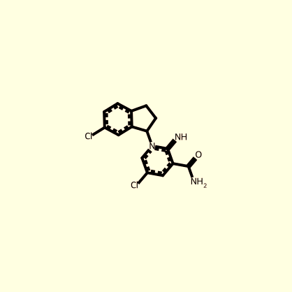 N=c1c(C(N)=O)cc(Cl)cn1C1CCc2ccc(Cl)cc21